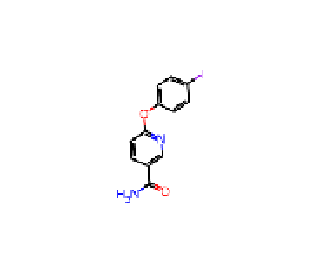 NC(=O)c1ccc(Oc2ccc(I)cc2)nc1